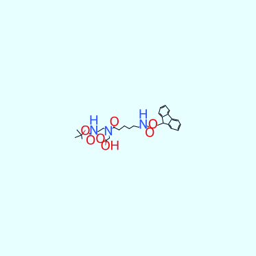 CC(C)(C)OC(=O)NCCN(CC(=O)O)C(=O)CCCCCNC(=O)OCC1c2ccccc2-c2ccccc21